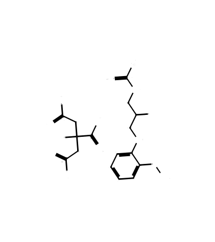 COc1ccccc1OCC(O)COC(N)=O.O=C(O)CC(O)(CC(=O)O)C(=O)O